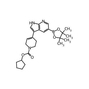 CC1(C)OB(c2cnc3[nH]cc(C4=CCN(C(=O)OC5CCCC5)CC4)c3c2)OC1(C)C